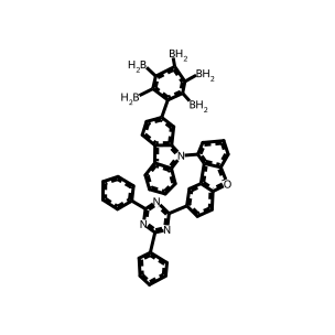 Bc1c(B)c(B)c(-c2ccc3c4ccccc4n(-c4cccc5oc6ccc(-c7nc(-c8ccccc8)nc(-c8ccccc8)n7)cc6c45)c3c2)c(B)c1B